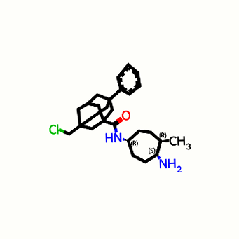 C[C@@H]1CC[C@@H](NC(=O)C23CC4CC(CCl)(C2)CC(c2ccccc2)(C4)C3)CC[C@@H]1N